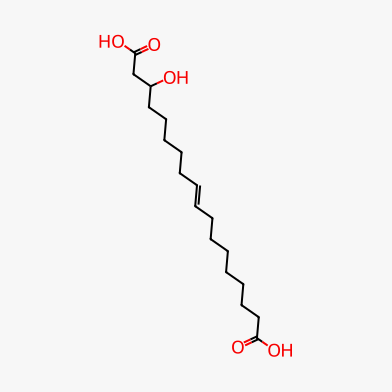 O=C(O)CCCCCCCC=CCCCCCC(O)CC(=O)O